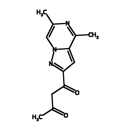 CC(=O)CC(=O)c1cc2c(C)nc(C)cn2n1